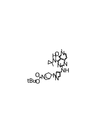 Cn1ccc2nc(Nc3cnn(C4CC5CC4CN5C(=O)OC(C)(C)C)c3)nc(NC3(C)CC3)c2c1=O